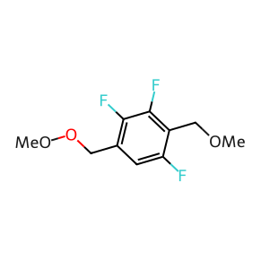 COCc1c(F)cc(COOC)c(F)c1F